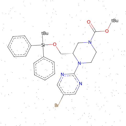 CC(C)(C)OC(=O)N1CCN(c2ncc(Br)cn2)[C@H](CO[Si](c2ccccc2)(c2ccccc2)C(C)(C)C)C1